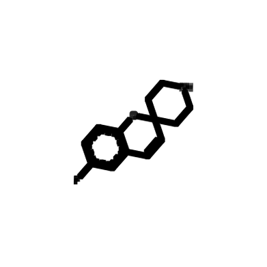 Fc1ccc2c(c1)C=CC1(CCNCC1)O2